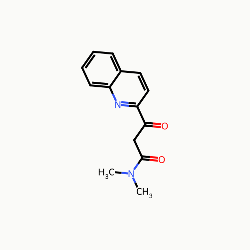 CN(C)C(=O)CC(=O)c1ccc2ccccc2n1